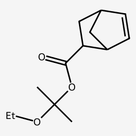 CCOC(C)(C)OC(=O)C1CC2C=CC1C2